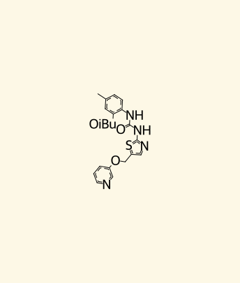 Cc1ccc(NC(=O)Nc2ncc(COc3cccnc3)s2)c(OCC(C)C)c1